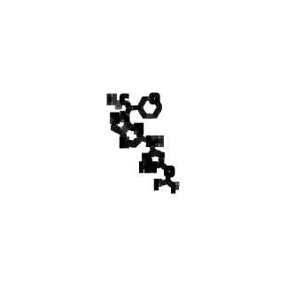 C[C@@H](C1CCCOC1)n1ncc2ncc(Nc3cc(OC(F)F)[nH]n3)nc21